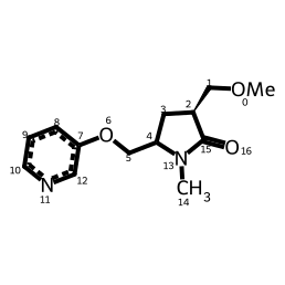 COC[C@@H]1CC(COc2cccnc2)N(C)C1=O